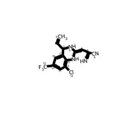 C=CC1N/C(=C/C(=N)C#N)Nc2c(Cl)cc(C(F)(F)F)cc21